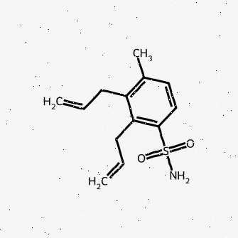 C=CCc1c(C)ccc(S(N)(=O)=O)c1CC=C